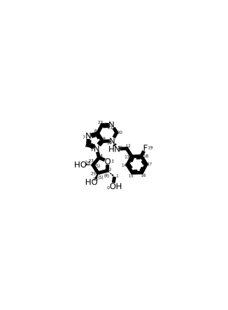 OC[C@H]1OC(n2cnc3c2N(NCc2ccccc2F)CN=C3)[C@@H](O)[C@@H]1O